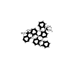 CC1(C)c2ccccc2Oc2c(N(c3cccc4c3Oc3ccccc3S4)c3cccc4c3Oc3ccccc3[Si]4(C)C)cccc21